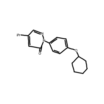 CC(C)c1cnn(-c2ccc(OC3CCCCC3)cc2)c(=O)c1